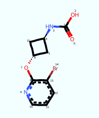 O=C(O)N[C@H]1C[C@H](Oc2ncccc2Br)C1